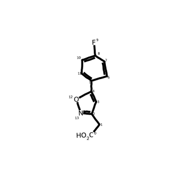 O=C(O)Cc1cc(-c2ccc(F)cc2)on1